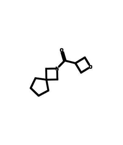 O=C(C1COC1)N1CC2(CCCC2)C1